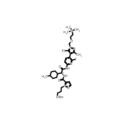 CCc1c(-c2ccc(NC(=O)[C@@H](NC(=O)c3ccnn3CCCOC)C3CCC(C)CC3)nc2F)c(C)nn1COCC[Si](C)(C)C